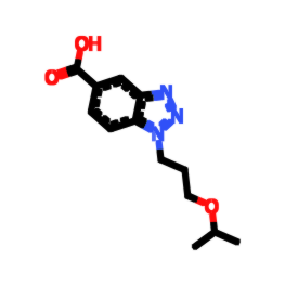 CC(C)OCCCn1nnc2cc(C(=O)O)ccc21